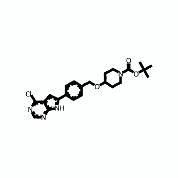 CC(C)(C)OC(=O)N1CCC(OCc2ccc(-c3cc4c(Cl)ncnc4[nH]3)cc2)CC1